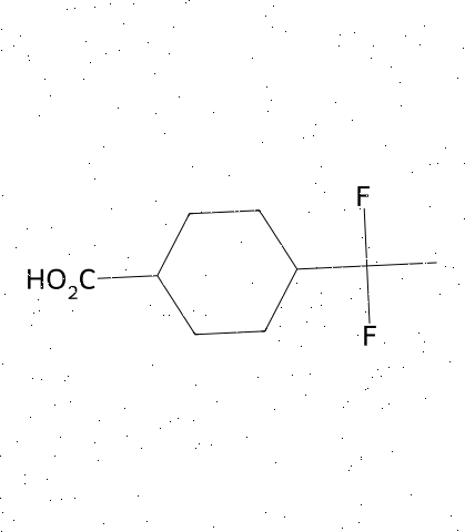 CC(F)(F)C1CCC(C(=O)O)CC1